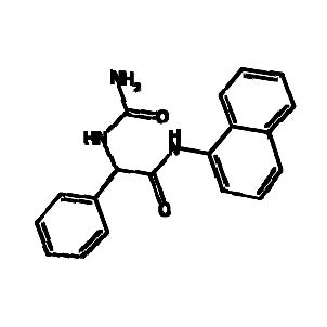 NC(=O)NC(C(=O)Nc1cccc2ccccc12)c1ccccc1